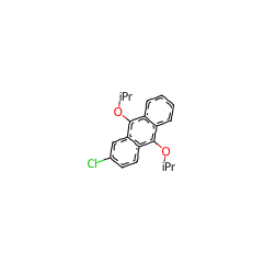 CC(C)Oc1c2ccccc2c(OC(C)C)c2cc(Cl)ccc12